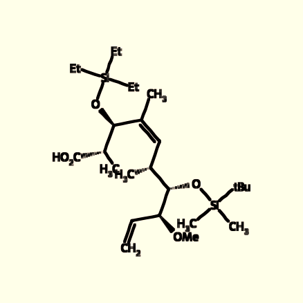 C=C[C@H](OC)[C@@H](O[Si](C)(C)C(C)(C)C)[C@H](C)/C=C(/C)[C@H](O[Si](CC)(CC)CC)[C@H](C)C(=O)O